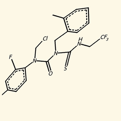 Cc1ccc(N(CCl)C(=O)N(Cc2ccccc2C)C(=S)NCC(F)(F)F)c(F)c1